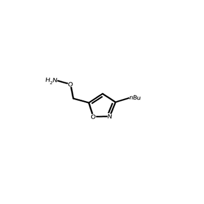 CCCCc1cc(CON)on1